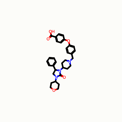 O=C(O)c1ccc(Oc2ccc(CN3CCC(N4C(=O)N(C5CCOCC5)CC4c4ccccc4)CC3)cc2)cc1